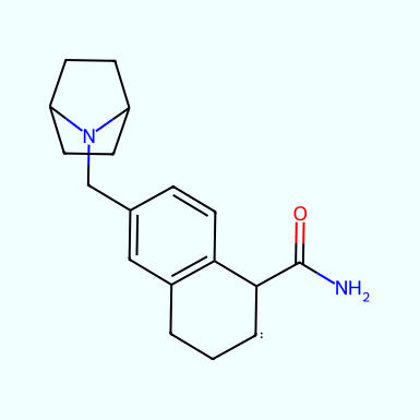 NC(=O)C1[C]CCc2cc(CN3C4CCC3CC4)ccc21